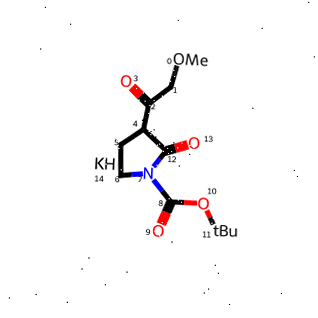 COCC(=O)C1CCN(C(=O)OC(C)(C)C)C1=O.[KH]